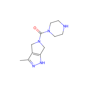 Cc1n[nH]c2c1CN(C(=O)N1CCNCC1)C2